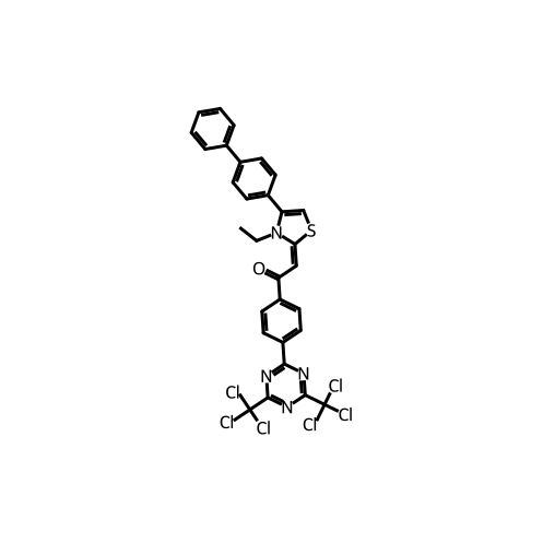 CCN1C(=CC(=O)c2ccc(-c3nc(C(Cl)(Cl)Cl)nc(C(Cl)(Cl)Cl)n3)cc2)SC=C1c1ccc(-c2ccccc2)cc1